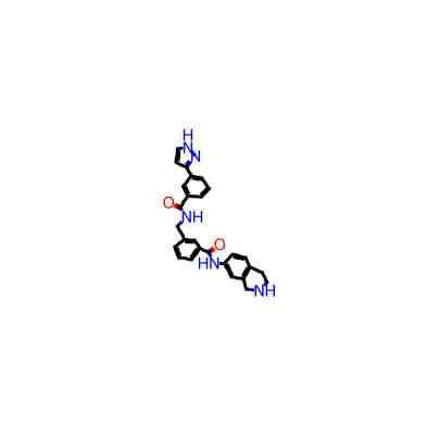 O=C(NCc1cccc(C(=O)Nc2ccc3c(c2)CNCC3)c1)c1cccc(-c2cc[nH]n2)c1